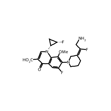 COc1c(N2CCC/C(=C(\F)CN)C2)c(F)cc2c(=O)c(C(=O)O)cn([C@@H]3C[C@@H]3F)c12